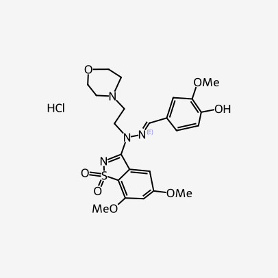 COc1cc(OC)c2c(c1)C(N(CCN1CCOCC1)/N=C/c1ccc(O)c(OC)c1)=NS2(=O)=O.Cl